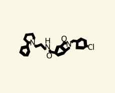 O=C(NCCCN1CCCCC1c1ccccc1)c1ccc2c(c1)C(=O)N(Cc1ccc(Cl)cc1)C2